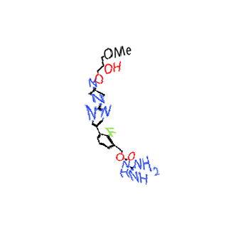 COCC(O)CON=C1CN(c2ncc(-c3cccc(COC(=O)NC(=N)N)c3F)cn2)C1